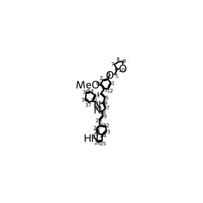 COc1cc(OCC2CCCO2)ccc1/C=C/c1cc(/C=C/c2ccc3cc[nH]c3c2)nn1-c1ccccc1